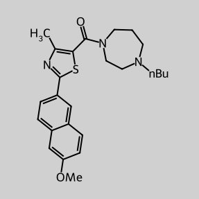 CCCCN1CCCN(C(=O)c2sc(-c3ccc4cc(OC)ccc4c3)nc2C)CC1